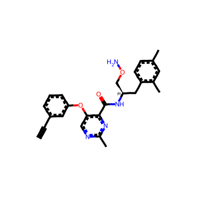 C#Cc1cccc(Oc2cnc(C)nc2C(=O)N[C@@H](CON)Cc2ccc(C)cc2C)c1